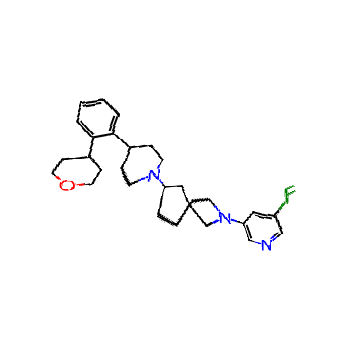 Fc1cncc(N2CC3(CCC(N4CCC(c5ccccc5C5CCOCC5)CC4)C3)C2)c1